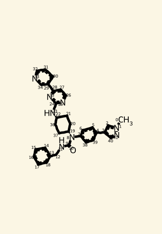 Cn1cc(-c2ccc(N(C(=O)NCc3ccccc3)[C@H]3CC[C@H](Nc4nccc(-c5cccnc5)n4)CC3)cc2)cn1